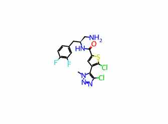 Cn1nnc(Cl)c1-c1cc(C(=O)N[C@H](CN)Cc2ccc(F)c(F)c2)sc1Cl